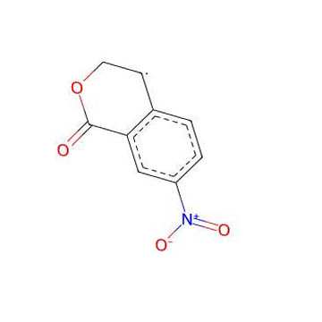 O=C1OC[CH]c2ccc([N+](=O)[O-])cc21